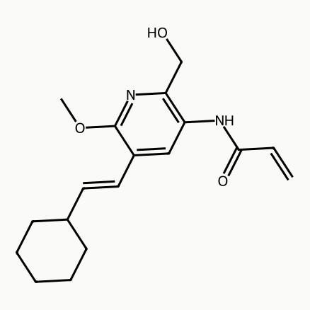 C=CC(=O)Nc1cc(/C=C/C2CCCCC2)c(OC)nc1CO